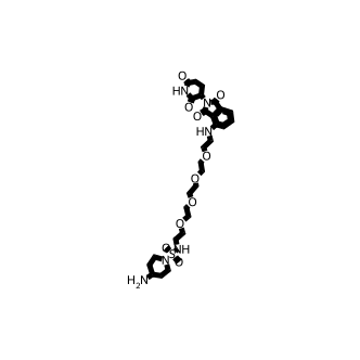 NC1CCN(S(=O)(=O)NCCOCCOCCOCCOCCNc2cccc3c2C(=O)N(C2CCC(=O)NC2=O)C3=O)CC1